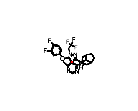 Cc1cc(N2CC3CCC(C2)C3Nc2nc(Oc3ccc(F)c(F)c3)n(CC(F)(F)F)n2)ncn1